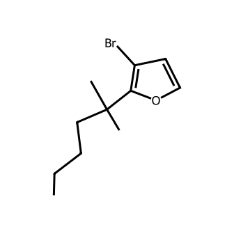 CCCCC(C)(C)c1occc1Br